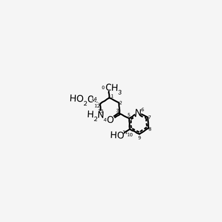 CC(CC(=O)c1ncccc1O)[C@H](N)C(=O)O